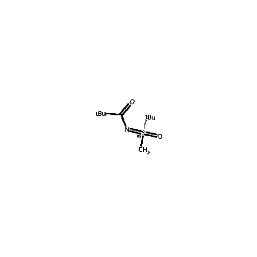 CC(C)(C)C(=O)N=[S@](C)(=O)C(C)(C)C